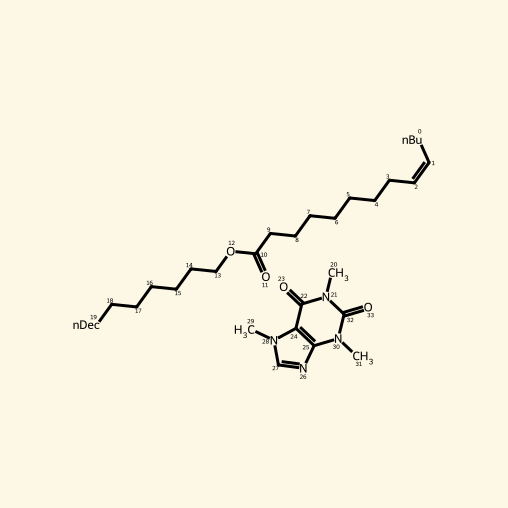 CCCC/C=C\CCCCCCCC(=O)OCCCCCCCCCCCCCCCC.Cn1c(=O)c2c(ncn2C)n(C)c1=O